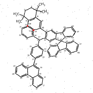 CC1(C)CCC(C)(C)c2cc(-c3cc4c(cc3N(c3ccccc3)c3ccc(-c5cc6ccccc6c6ccccc56)cc3)C3(c5ccccc5-c5ccccc53)c3ccccc3-4)ccc21